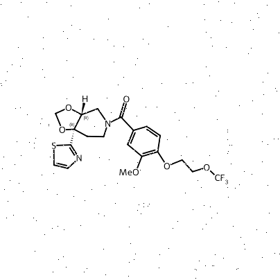 COc1cc(C(=O)N2CC[C@@]3(c4nccs4)OCO[C@@H]3C2)ccc1OCCOC(F)(F)F